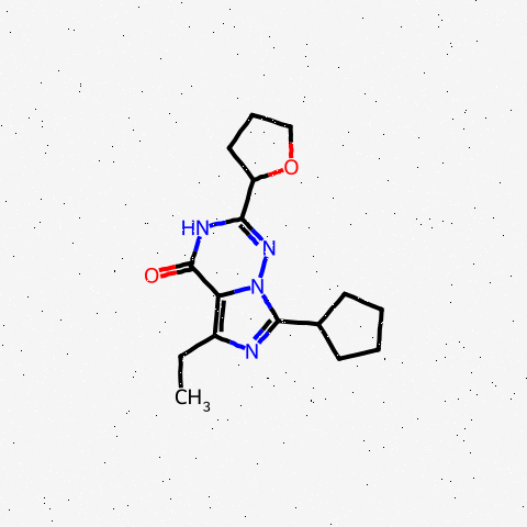 CCc1nc(C2CCCC2)n2nc(C3CCCO3)[nH]c(=O)c12